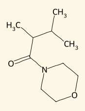 CC(C)C(C)C(=O)N1CCOCC1